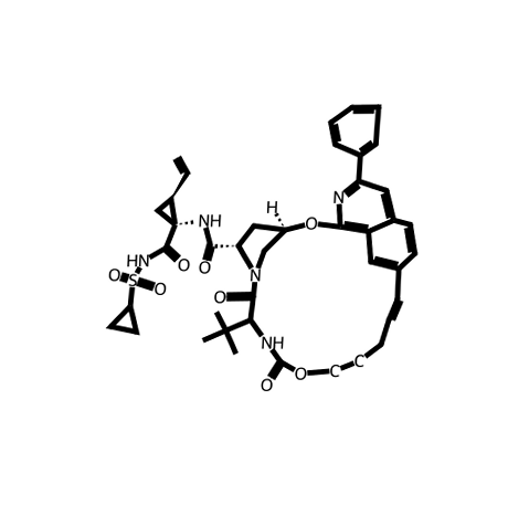 C=C[C@@H]1C[C@]1(NC(=O)[C@@H]1C[C@@H]2CN1C(=O)C(C(C)(C)C)NC(=O)OCCC/C=C/c1ccc3cc(-c4ccccc4)nc(c3c1)O2)C(=O)NS(=O)(=O)C1CC1